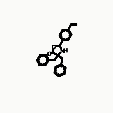 C=Cc1ccc(C2NC(Cc3ccccc3)(Cc3ccccc3)C(=O)O2)cc1